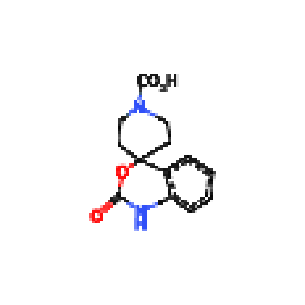 O=C1Nc2ccccc2C2(CCN(C(=O)O)CC2)O1